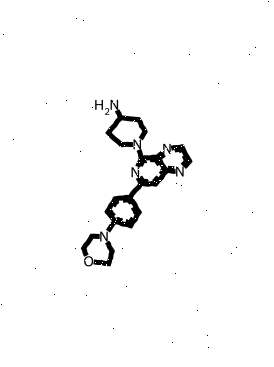 NC1CCN(c2nc(-c3ccc(N4CCOCC4)cc3)cc3nccnc23)CC1